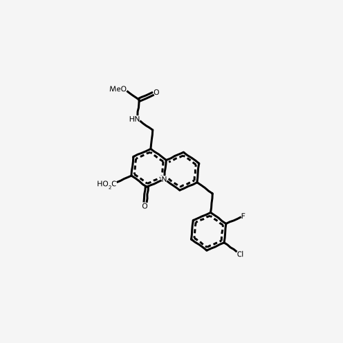 COC(=O)NCc1cc(C(=O)O)c(=O)n2cc(Cc3cccc(Cl)c3F)ccc12